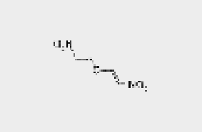 O=[N+]([O-])C=COC=C[N+](=O)[O-]